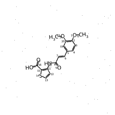 COc1ccc(C=CC(=O)Nc2ccsc2C(=O)O)cc1OC